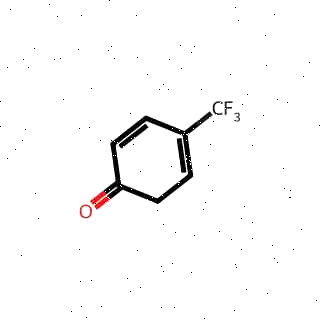 O=C1C=CC(C(F)(F)F)=CC1